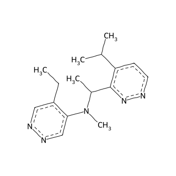 CCc1cnncc1N(C)C(C)c1nnccc1C(C)C